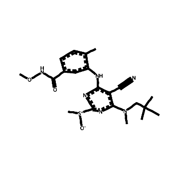 CONC(=O)c1ccc(C)c(Nc2nc([S+](C)[O-])nc(N(C)CC(C)(C)C)c2C#N)c1